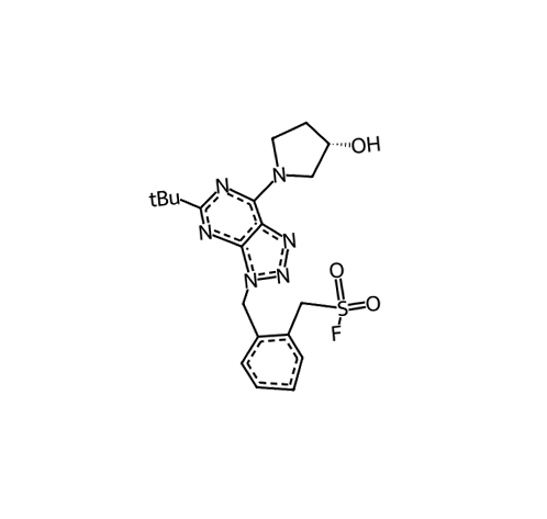 CC(C)(C)c1nc(N2CC[C@H](O)C2)c2nnn(Cc3ccccc3CS(=O)(=O)F)c2n1